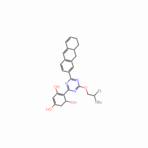 CCCCC(CC)COc1nc(C2=C(O)C=C(O)CC2O)nc(-c2ccc3c(c2)CC2CCC=CC2=C3)n1